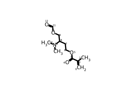 C=C(C)C(=O)OCCC(COC=O)N(C)C